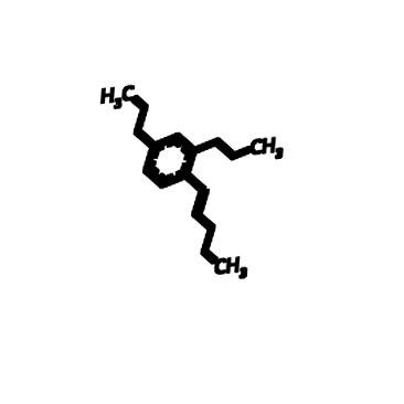 CCCC=Cc1ccc(CCC)cc1CCC